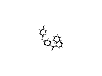 Cc1cnc(Cc2ccc(N(C)c3ncnc4ccccc34)cc2)nc1